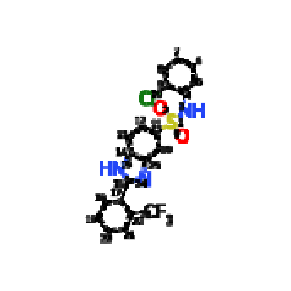 O=S(=O)(Nc1ccccc1Cl)c1ccc2[nH]c(-c3ccccc3C(F)(F)F)nc2c1